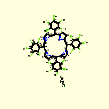 Fc1c(F)c(F)c(-c2c3nc(c(-c4c(F)c(F)c(F)c(F)c4F)c4ccc([nH]4)c(-c4c(F)c(F)c(F)c(F)c4F)c4nc(c(-c5c(F)c(F)c(F)c(F)c5F)c5ccc2[nH]5)C=C4)C=C3)c(F)c1F.[Cl][Fe][Cl]